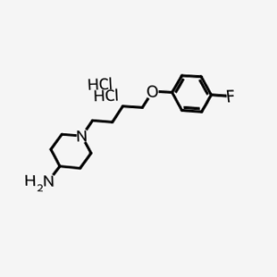 Cl.Cl.NC1CCN(CCCCOc2ccc(F)cc2)CC1